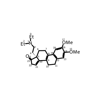 CCN(CC)CC[C@]12CCC3=C(CCc4cc(OC)c(OC)cc43)C1=CCC2=O